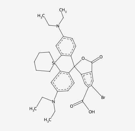 CCN(CC)c1ccc2c(c1)[Si]1(CCCCC1)c1cc(N(CC)CC)ccc1C21OC(=O)c2cc(Br)c(C(=O)O)cc21